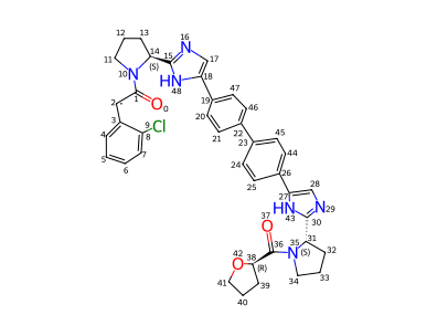 O=C([CH]c1ccccc1Cl)N1CCC[C@H]1c1ncc(-c2ccc(-c3ccc(-c4cnc([C@@H]5CCCN5C(=O)[C@H]5CCCO5)[nH]4)cc3)cc2)[nH]1